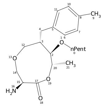 CCCCCO[C@@H]1[C@@H](Cc2ccc(C)cc2)COC[C@H](N)C(=O)O[C@H]1C